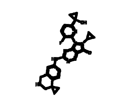 O=c1c2cnc(Nc3ccc4c(c3)CNCC43CC3)nc2n(-c2nc(C3(O)CC3)ccc2F)n1C1CC1